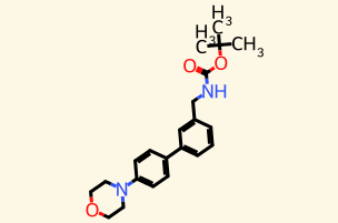 CC(C)(C)OC(=O)NCc1cccc(-c2ccc(N3CCOCC3)cc2)c1